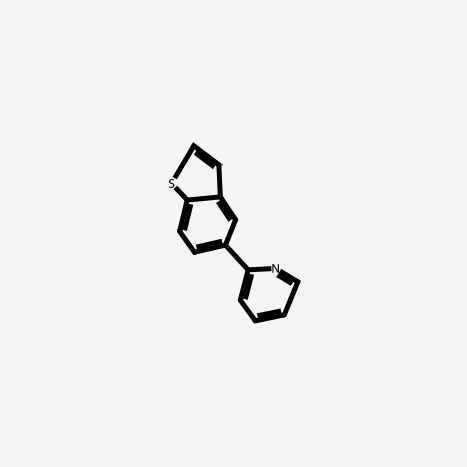 [c]1csc2ccc(-c3ccccn3)cc12